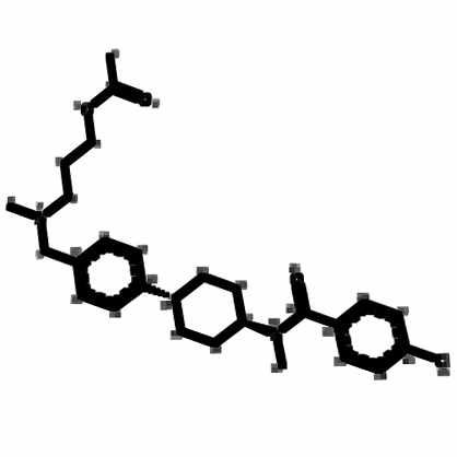 CC(=O)OCCCN(C)Cc1ccc([C@H]2CC[C@H](N(C)C(=O)c3ccc(Cl)cc3)CC2)cc1